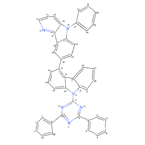 c1ccc(-c2nc(-c3ccccc3)nc(-n3c4ccccc4c4c(-c5ccc6c(c5)c5ncccc5n6-c5ccccc5)cccc43)n2)cc1